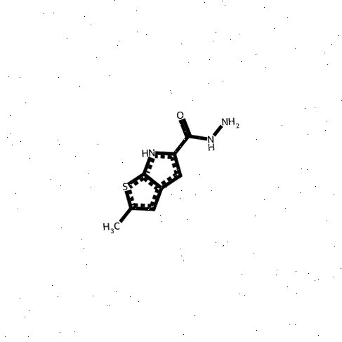 Cc1cc2cc(C(=O)NN)[nH]c2s1